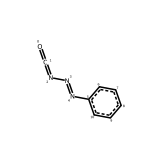 O=C=NN=Nc1ccccc1